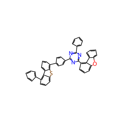 c1ccc(-c2nc(-c3ccc(-c4cccc5c4sc4cccc(-c6ccccc6)c45)cc3)nc(-c3cccc4oc5ccccc5c34)n2)cc1